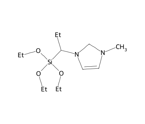 CCO[Si](OCC)(OCC)C(CC)N1C=CN(C)C1